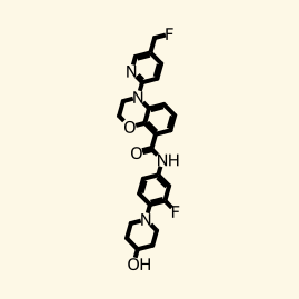 O=C(Nc1ccc(N2CCC(O)CC2)c(F)c1)c1cccc2c1OCCN2c1ccc(CF)cn1